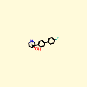 OC1(c2ccc(-c3ccc(F)cc3)cc2)CN2CCC1CC2